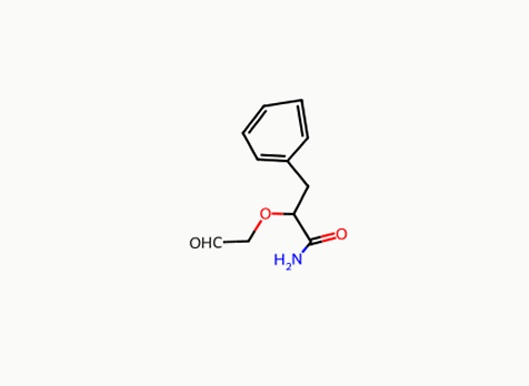 NC(=O)C(Cc1ccccc1)OCC=O